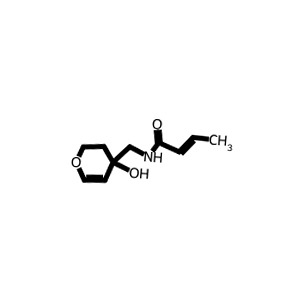 C/C=C/C(=O)NCC1(O)C=COCC1